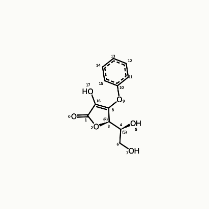 O=C1O[C@H]([C@@H](O)CO)C(Oc2ccccc2)=C1O